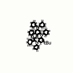 CC(C)(C)c1cc2c3c(c1)N(c1ccccc1)c1c4c(n(-c5ccccc5)c1B3c1ccc(N(c3ccccc3)c3ccccc3)cc1N2c1ccccc1)CCCC4